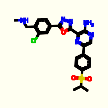 CNCc1ccc(-c2nnc(-c3nc(-c4ccc(S(=O)(=O)C(C)C)cc4)cnc3N)o2)cc1Cl